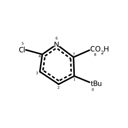 CC(C)(C)c1ccc(Cl)nc1C(=O)O